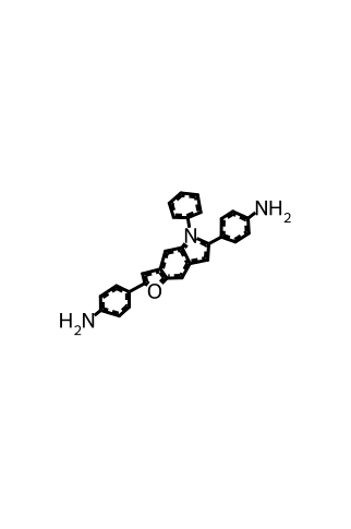 Nc1ccc(-c2cc3cc4c(cc(-c5ccc(N)cc5)n4-c4ccccc4)cc3o2)cc1